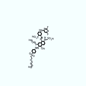 O=S(=O)(O)CNc1ccc2c(O)c(/N=N/c3ccc(S(=O)(=O)CCOSOOO)cc3)c(SOOO)cc2c1/N=N/c1cc(Nc2cc(F)nc(F)n2)ccc1S(=O)(=O)O